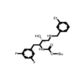 CCc1cccc(CNC[C@@H](O)C(Cc2cc(F)cc(F)c2)NC(=O)OC(C)(C)C)c1